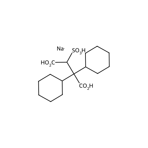 O=C(O)C(C(C(=O)O)(C1CCCCC1)C1CCCCC1)S(=O)(=O)O.[Na]